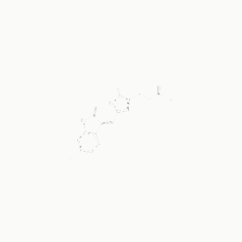 Cc1[nH]c(C=C2C(=O)Nc3cc(O)ccc32)c(C)c1CCC(=O)O